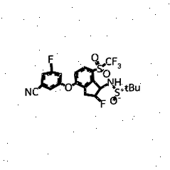 CC(C)(C)[S@+]([O-])NC1c2c(S(=O)(=O)C(F)(F)F)ccc(Oc3cc(F)cc(C#N)c3)c2CC1F